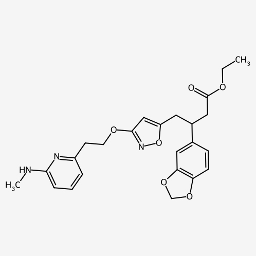 CCOC(=O)CC(Cc1cc(OCCc2cccc(NC)n2)no1)c1ccc2c(c1)OCO2